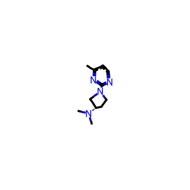 Cc1ccnc(N2CC[C@H](N(C)C)C2)n1